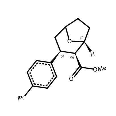 COC(=O)[C@H]1[C@@H](c2ccc(C(C)C)cc2)CC2CC[C@H]1O2